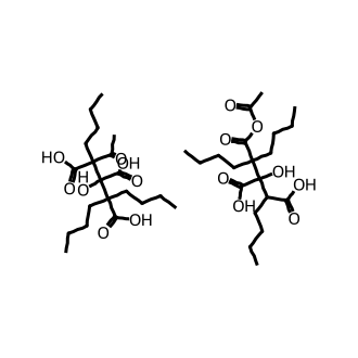 CCCCC(C(=O)O)C(O)(C(=O)O)C(CCCC)(CCCC)C(=O)OC(C)=O.CCCCC(CCCC)(C(=O)O)C(O)(C(=O)O)C(CCCC)(C(C)=O)C(=O)O